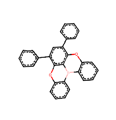 c1ccc(-c2cc(-c3ccccc3)c3c4c2Oc2ccccc2B4c2ccccc2O3)cc1